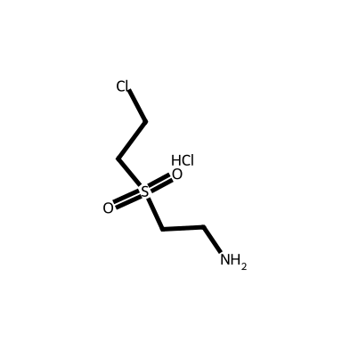 Cl.NCCS(=O)(=O)CCCl